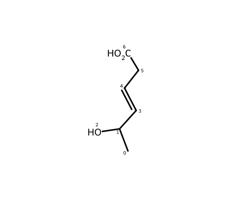 CC(O)C=CCC(=O)O